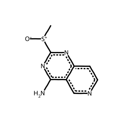 C[S+]([O-])c1nc(N)c2cnccc2n1